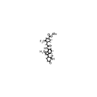 Cn1nc(C2CCC(=O)NC2=O)c2cccc(NC(=O)CN3CCN(C(=O)OC(C)(C)C)C[C@@H]3C(F)(F)F)c21